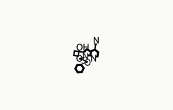 N#Cc1ccnc2c1cc(C1(O)CCC1)n2S(=O)(=O)c1ccccc1